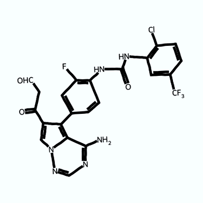 Nc1ncnn2cc(C(=O)CC=O)c(-c3ccc(NC(=O)Nc4cc(C(F)(F)F)ccc4Cl)c(F)c3)c12